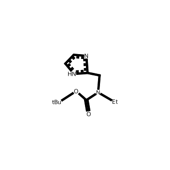 CCN(Cc1ncc[nH]1)C(=O)OC(C)(C)C